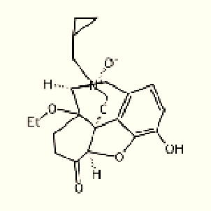 CCOC12CCC(=O)[C@@H]3Oc4c(O)ccc5c4[C@@]31CC[N@+]([O-])(CC1CC1)[C@@H]2C5